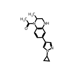 CC(=O)N1c2ccc(-c3cnn(C4CC4)c3)cc2NCC1C